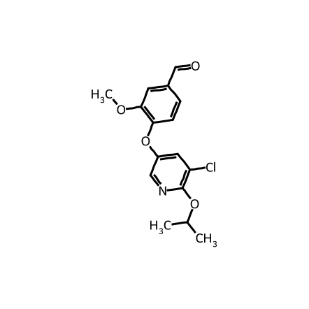 COc1cc(C=O)ccc1Oc1cnc(OC(C)C)c(Cl)c1